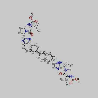 COC(=O)N[C@H](C(=O)N1CCC[C@H]1c1ncc(-c2ccc3cc(-c4ccc5c(c4)CCc4nc([C@@H]6CCCN6C(=O)[C@@H](NC(=O)OC)C(C)C)[nH]c4-5)ccc3c2)[nH]1)C(C)C